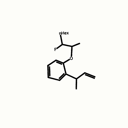 C=CC(C)c1ccccc1OC(C)C(F)CCCCCC